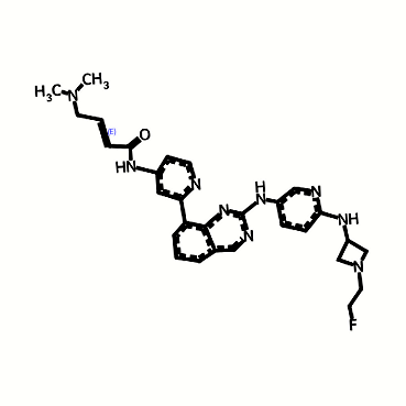 CN(C)C/C=C/C(=O)Nc1ccnc(-c2cccc3cnc(Nc4ccc(NC5CN(CCF)C5)nc4)nc23)c1